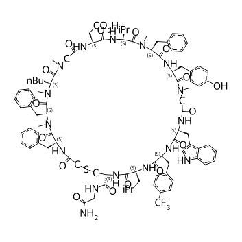 CCCC[C@H]1C(=O)N(C)CC(=O)N[C@@H](CC(=O)O)C(=O)N[C@@H](C(C)C)C(=O)N(C)[C@@H](Cc2ccccc2)C(=O)N[C@@H](Cc2ccc(O)cc2)C(=O)N(C)CC(=O)N[C@@H](Cc2c[nH]c3ccccc23)C(=O)N[C@@H](Cc2ccc(C(F)(F)F)cc2)C(=O)N[C@@H](CC(C)C)C(=O)N[C@H](C(=O)NCC(N)=O)CSCC(=O)N[C@@H](Cc2ccccc2)C(=O)N(C)[C@@H](Cc2ccccc2)C(=O)N1C